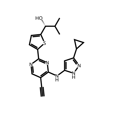 C#Cc1cnc(-c2ccc([C@H](O)C(C)C)s2)nc1Nc1cc(C2CC2)n[nH]1